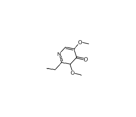 CCC1=NC=C(OC)C(=O)C1OC